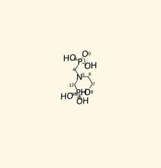 O=P(O)(O)CN1CCO[PH](O)(O)C1